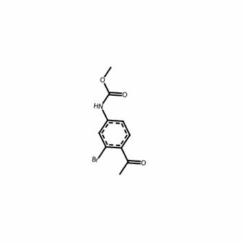 COC(=O)Nc1ccc(C(C)=O)c(Br)c1